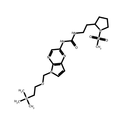 C[Si](C)(C)CCOCn1ccc2nc(NC(=O)NCCC3CCCN3S(C)(=O)=O)cnc21